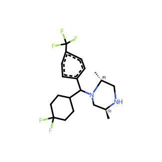 C[C@@H]1CN[C@@H](C)CN1C(c1ccc(C(F)(F)F)cc1)C1CCC(F)(F)CC1